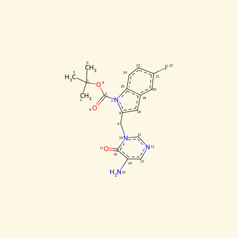 CC(C)(C)OC(=O)n1c(Cn2cncc(N)c2=O)cc2cc(F)ccc21